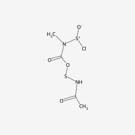 CC(=O)NSOC(=O)N(C)[S+]([O-])Cl